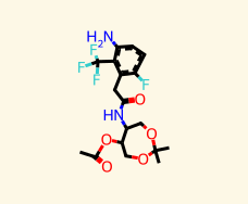 CC(=O)OC1COC(C)(C)OCC1NC(=O)Cc1c(F)ccc(N)c1C(F)(F)F